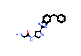 NCC(=O)N[C@H]1CN[C@H](c2nc3cc(Cc4ccccc4)ccc3[nH]2)C1